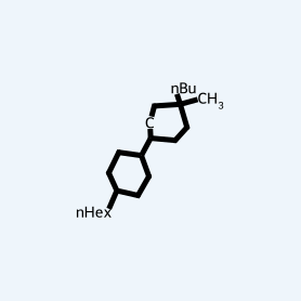 CCCCCCC1CCC(C2CCC(C)(CCCC)CC2)CC1